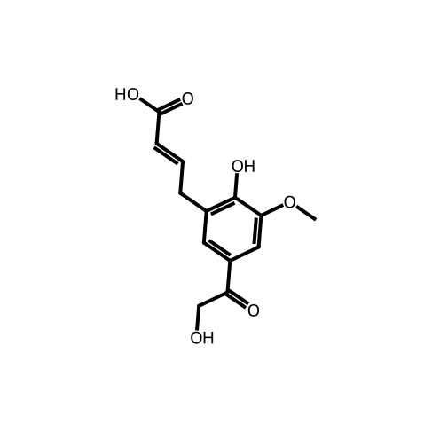 COc1cc(C(=O)CO)cc(CC=CC(=O)O)c1O